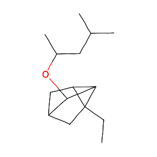 CCC12CC3CC1C2C3OC(C)CC(C)C